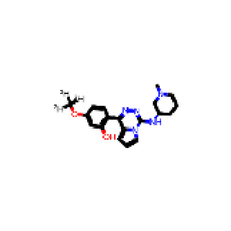 [2H]C([2H])([2H])Oc1ccc(-c2nnc(N[C@@H]3CCCN(C)C3)n3cccc23)c(O)c1